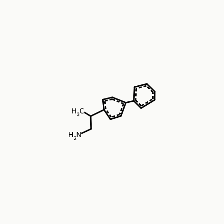 CC(CN)c1ccc(-c2ccccc2)cc1